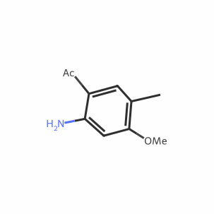 COc1cc(N)c(C(C)=O)cc1C